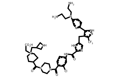 NCCN(CCN)c1ccc(-c2[nH]nc(C(F)(F)F)c2Cc2cnc(C(=O)Nc3ccc(C(=O)N4CCN(C(=O)C5CC[N+](CC(=O)O)(CC6CNC6)CC5)CC4)c(Cl)c3)[nH]2)nc1